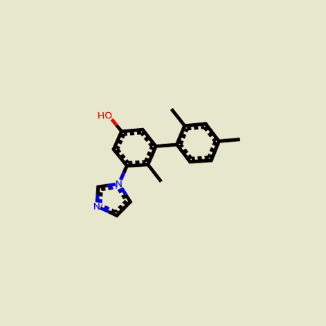 Cc1ccc(-c2cc(O)cc(-n3ccnc3)c2C)c(C)c1